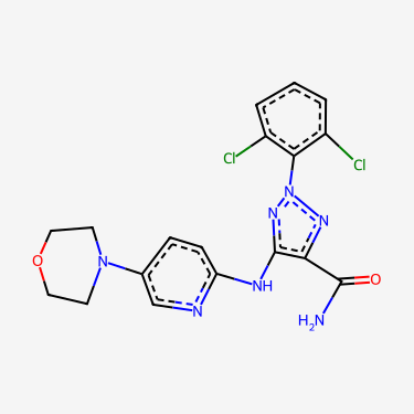 NC(=O)c1nn(-c2c(Cl)cccc2Cl)nc1Nc1ccc(N2CCOCC2)cn1